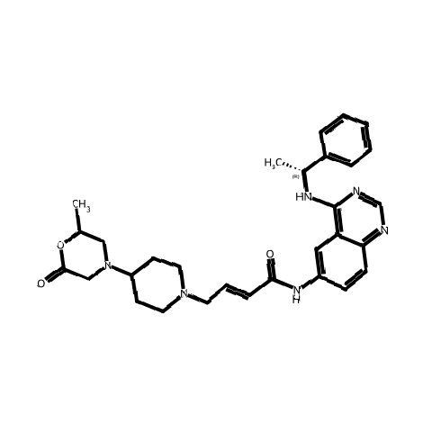 CC1CN(C2CCN(CC=CC(=O)Nc3ccc4ncnc(N[C@H](C)c5ccccc5)c4c3)CC2)CC(=O)O1